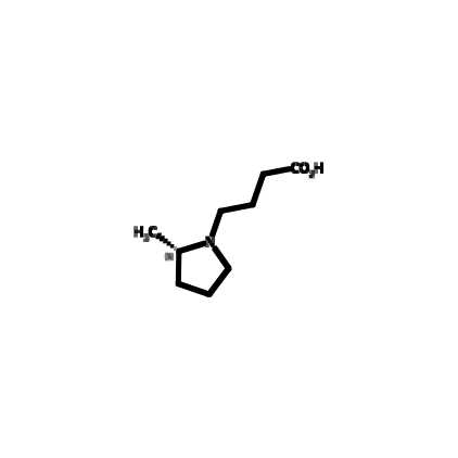 C[C@H]1CCCN1CCCC(=O)O